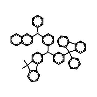 CC1(C)c2ccccc2-c2cc(N(c3cccc(N(c4ccccc4)c4ccc5ccccc5c4)c3)c3cccc(C4(c5ccccc5)c5ccccc5-c5ccccc54)c3)ccc21